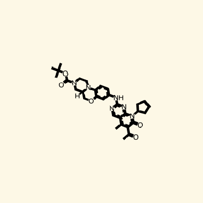 CC(=O)c1c(C)c2cnc(Nc3ccc4c(c3)OC[C@@H]3CN(C(=O)OC(C)(C)C)CCN43)nc2n(C2CCCC2)c1=O